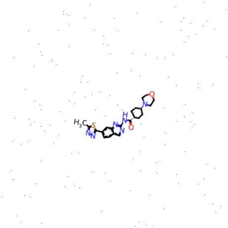 Cc1nnc(-c2ccc3cnc(NC(=O)[C@H]4CC[C@H](N5CCOCC5)CC4)nc3c2)s1